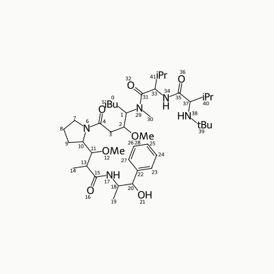 CCC(C)C(C(CC(=O)N1CCCC1C(OC)C(C)C(=O)NC(C)C(O)c1ccccc1)OC)N(C)C(=O)C(NC(=O)C(NC(C)(C)C)C(C)C)C(C)C